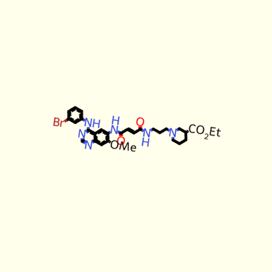 CCOC(=O)C1CCCN(CCCNC(=O)C=CC(=O)Nc2cc3c(Nc4cccc(Br)c4)ncnc3cc2OC)C1